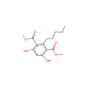 CCCCCc1c(C(=O)OC)c(O)cc(O)c1C(=O)OC